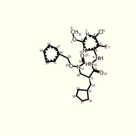 COc1nc(Cl)c(F)c(NNC(=O)[C@@H](CC2CCCC2)CN(C=O)OCc2ccccc2)n1